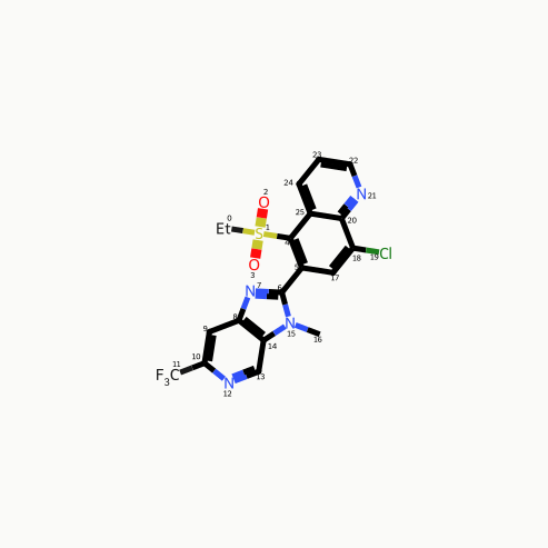 CCS(=O)(=O)c1c(-c2nc3cc(C(F)(F)F)ncc3n2C)cc(Cl)c2ncccc12